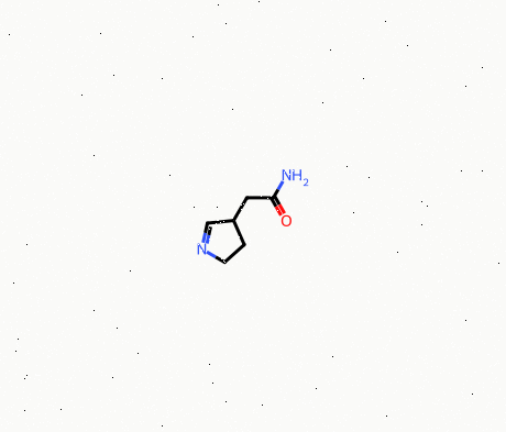 NC(=O)CC1C=NCC1